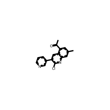 CC(=O)c1cc(C)cc2nc(Cl)c(-c3cccnc3)cc12